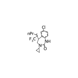 CCCS[C@]1(C(F)(F)F)CN(C2CC2)C(=O)Nc2ccc(Cl)cc21